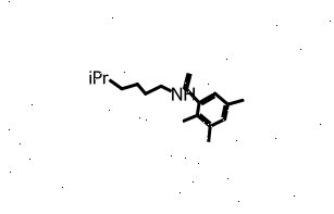 C=C(NCCCCC(C)C)c1cc(C)cc(C)c1C